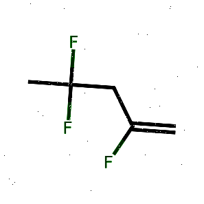 C=C(F)CC(C)(F)F